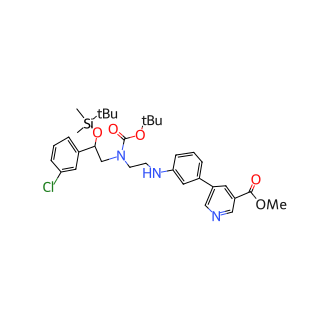 COC(=O)c1cncc(-c2cccc(NCCN(CC(O[Si](C)(C)C(C)(C)C)c3cccc(Cl)c3)C(=O)OC(C)(C)C)c2)c1